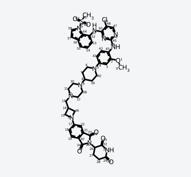 COc1cc(N2CCC(N3CCN(CC4CN(c5ccc6c(c5)C(=O)N(C5CCC(=O)NC5=O)C6=O)C4)CC3)CC2)ccc1Nc1ncc(Cl)c(Nc2cccc3ccn(S(C)(=O)=O)c23)n1